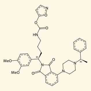 COc1ccc([C@@H](CCCNC(=O)Oc2ccno2)N2C(=O)c3cccc(N4CCN([C@H](C)c5ccccc5)CC4)c3C2=O)cc1OC